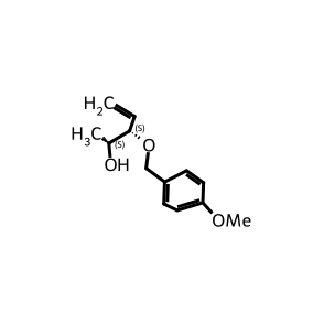 C=C[C@H](OCc1ccc(OC)cc1)[C@H](C)O